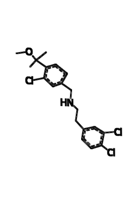 COC(C)(C)c1ccc(CNCCc2ccc(Cl)c(Cl)c2)cc1Cl